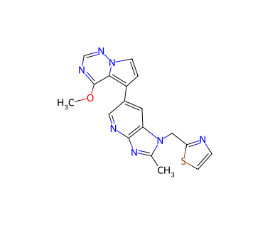 COc1ncnn2ccc(-c3cnc4nc(C)n(Cc5nccs5)c4c3)c12